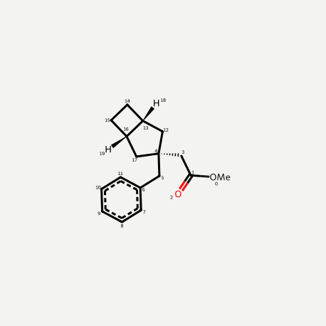 COC(=O)C[C@@]1(Cc2ccccc2)C[C@H]2CC[C@H]2C1